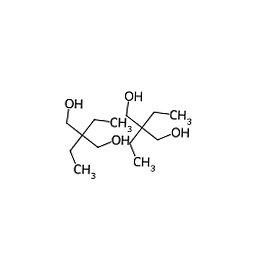 CCC(CC)(CO)CO.CCC(CC)(CO)CO